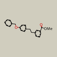 COC(=O)c1cccc(CCc2ccc(OCc3ccccc3)cc2)c1